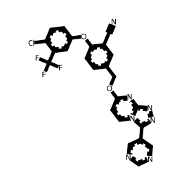 N#Cc1cc(COc2ccn3c(-c4cncnc4)nnc3n2)ccc1Oc1ccc(Cl)c(C(F)(F)F)c1